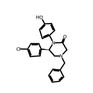 O=C1CN(Cc2ccccc2)C[C@@H](c2ccc(Cl)cc2)N1c1ccc(O)cc1